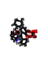 Cc1ccc(CO[C@@H]2C3CCN(CC3)[C@@H]2C(c2ccccc2)c2ccccc2)cc1.O=C(O)C(=O)O